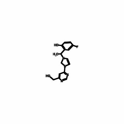 CC(c1cc(F)ccc1O)N1C=CN(c2cc(CO)ncn2)C1